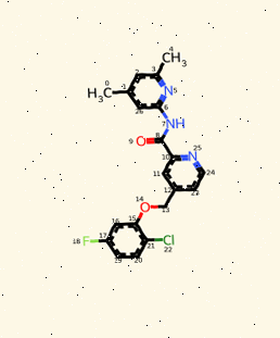 Cc1cc(C)nc(NC(=O)c2cc(COc3cc(F)ccc3Cl)ccn2)c1